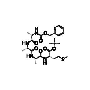 CSCC[C@H](NC(=O)[C@H](C)NC(=O)[C@H](C)NC(=O)[C@H](C)NC(=O)OCc1ccccc1)C(=O)OC(C)(C)C